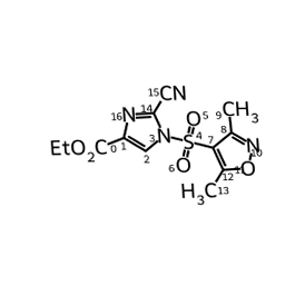 CCOC(=O)c1cn(S(=O)(=O)c2c(C)noc2C)c(C#N)n1